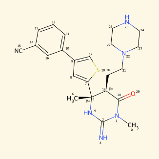 CN1C(=N)N[C@](C)(c2cc(-c3cccc(C#N)c3)cs2)[C@@H](CCN2CCNCC2)C1=O